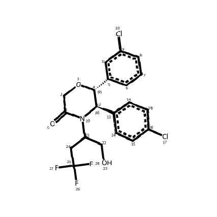 O=C1CO[C@H](c2cccc(Cl)c2)[C@@H](c2ccc(Cl)cc2)N1C(CO)CC(F)(F)F